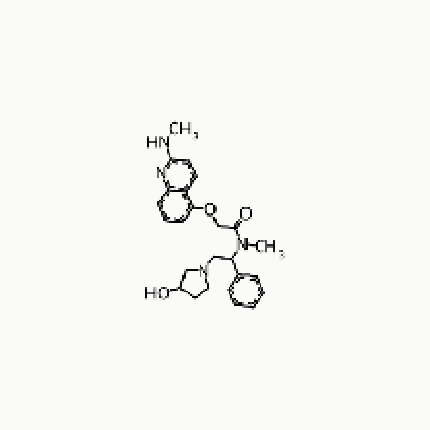 CNc1ccc2c(OCC(=O)N(C)[C@H](CN3CCC(O)C3)c3ccccc3)cccc2n1